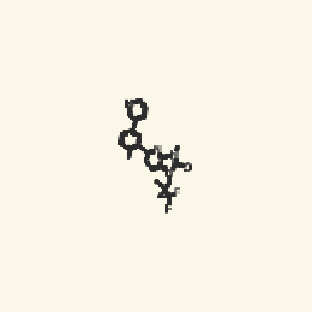 Cc1ccc(-c2cccnc2)cc1-c1ccc2c(n1)n(C)c(=O)n2CC1(C)CC1(F)F